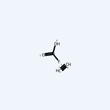 C#C.O=C(O)F